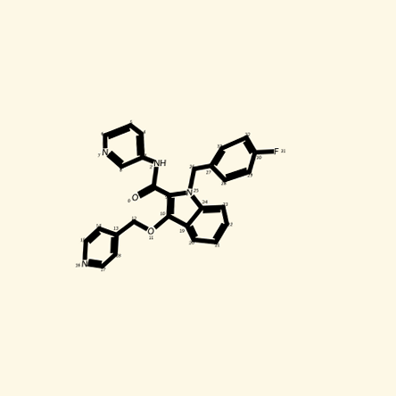 O=C(Nc1cccnc1)c1c(OCc2ccncc2)c2ccccc2n1Cc1ccc(F)cc1